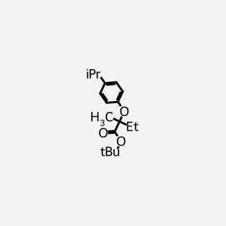 CCC(C)(Oc1ccc(C(C)C)cc1)C(=O)OC(C)(C)C